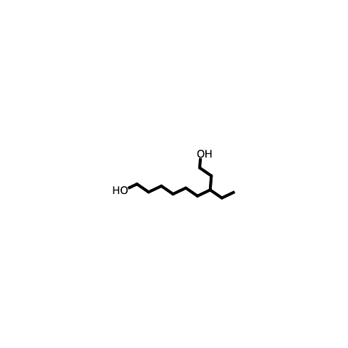 CCC(CCO)CCCCCCO